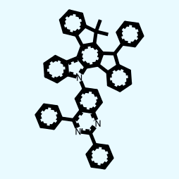 CC1(C)c2ccccc2-c2c1c1c(c3c2c2ccccc2n3-c2ccc3nc(-c4ccccc4)nc(-c4ccccc4)c3c2)-c2ccccc2C1c1ccccc1